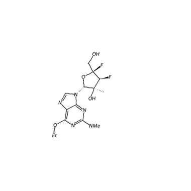 CCOc1nc(NC)nc2c1ncn2[C@@H]1O[C@](F)(CO)[C@@H](F)[C@@]1(C)O